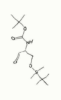 CC(C)(C)OC(=O)NC(C=O)CO[Si](C)(C)C(C)(C)C